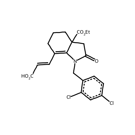 CCOC(=O)C12CCCC(/C=C/C(=O)O)=C1N(Cc1ccc(Cl)cc1Cl)C(=O)C2